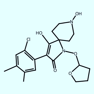 Cc1cc(Cl)c(C2=C(O)C3(CCN(O)CC3)N(OC3CCCO3)C2=O)cc1C